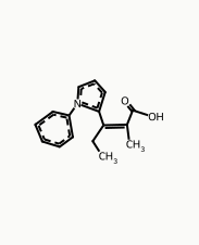 CCC(=C(C)C(=O)O)c1cccn1-c1ccccc1